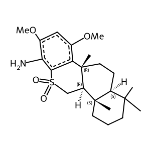 COc1cc(OC)c2c(c1N)S(=O)(=O)C[C@@H]1[C@@]3(C)CCCC(C)(C)[C@@H]3CC[C@@]21C